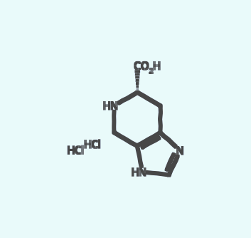 Cl.Cl.O=C(O)[C@@H]1Cc2nc[nH]c2CN1